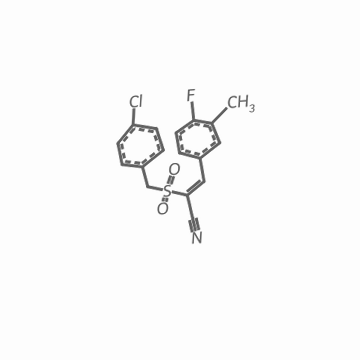 Cc1cc(C=C(C#N)S(=O)(=O)Cc2ccc(Cl)cc2)ccc1F